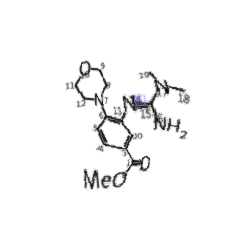 COC(=O)c1ccc(N2CCOCC2)c(/N=C(\N)N(C)C)c1